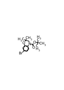 CC(C)(C)OC(=O)N1CC(C)(C)Oc2cc(Br)ccc21